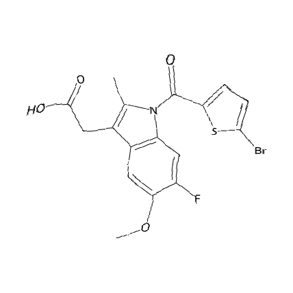 COc1cc2c(CC(=O)O)c(C)n(C(=O)c3ccc(Br)s3)c2cc1F